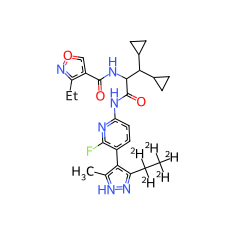 [2H]C([2H])([2H])C([2H])([2H])c1n[nH]c(C)c1-c1ccc(NC(=O)C(NC(=O)c2conc2CC)C(C2CC2)C2CC2)nc1F